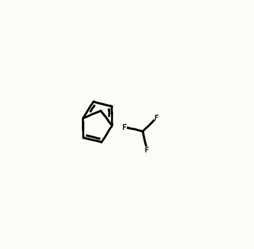 C1=CC2=CC=C1C2.FC(F)F